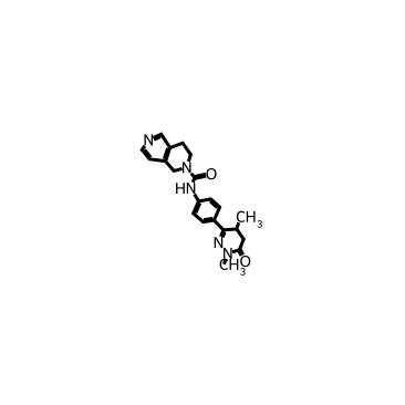 CC1CC(=O)N(C)N=C1c1ccc(NC(=O)N2CCc3cnccc3C2)cc1